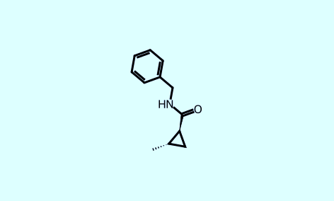 C[C@H]1C[C@@H]1C(=O)NCc1ccccc1